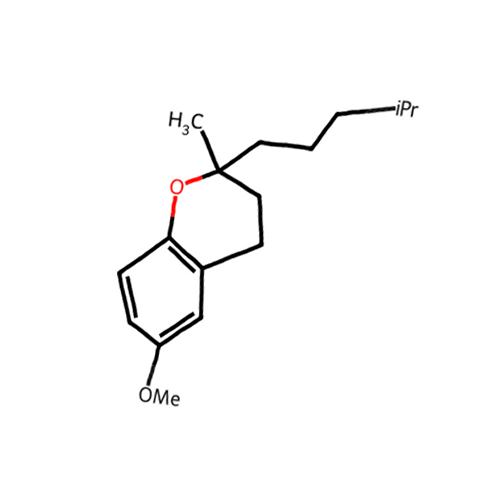 COc1ccc2c(c1)CCC(C)(CCCC(C)C)O2